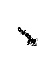 CC(C)(C)OC(=O)CN(c1ccc2ccc(NC(=O)NCc3ccccc3)cc2c1)S(=O)(=O)c1cc(Cl)cc(Cl)c1